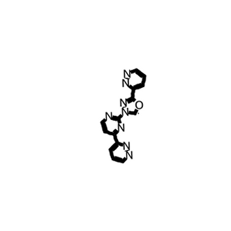 [CH]1OC(c2cccnn2)=NN1c1nccc(-c2cccnn2)n1